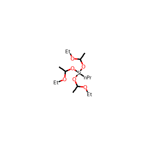 CCC[Si](OC(C)OCC)(OC(C)OCC)OC(C)OCC